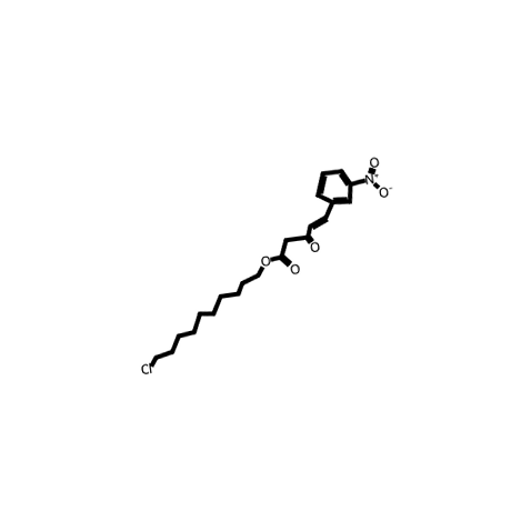 O=C(C=Cc1cccc([N+](=O)[O-])c1)CC(=O)OCCCCCCCCCCCl